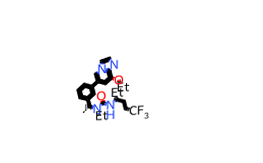 CCOc1cc(-c2cccc([C@@H](C)N(CC)C(=O)NC(CC)CCC(F)(F)F)c2)cn2ccnc12